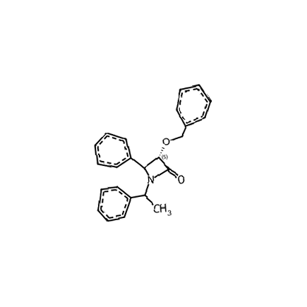 CC(c1ccccc1)N1C(=O)[C@@H](OCc2ccccc2)C1c1ccccc1